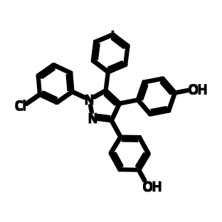 Oc1ccc(-c2nn(-c3cccc(Cl)c3)c(-c3cc[c]cc3)c2-c2ccc(O)cc2)cc1